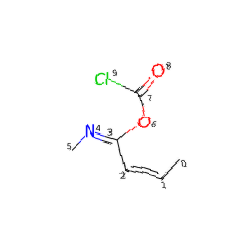 C/C=C\C(=N/C)OC(=O)Cl